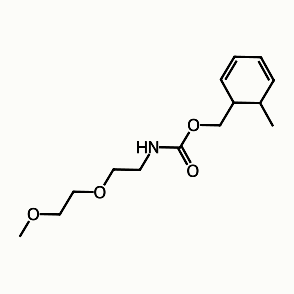 COCCOCCNC(=O)OCC1C=CC=CC1C